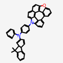 CC1(C)c2ccccc2C2C=CC(N(c3ccccc3)c3ccc(-n4c5cccc6c5c5c7c(ccc8oc9cccc-6c9c87)ccc54)cc3)=CC21